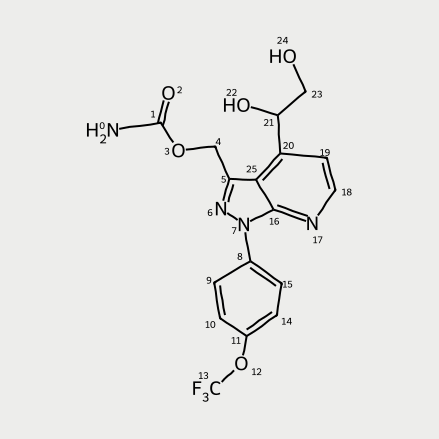 NC(=O)OCc1nn(-c2ccc(OC(F)(F)F)cc2)c2nccc(C(O)CO)c12